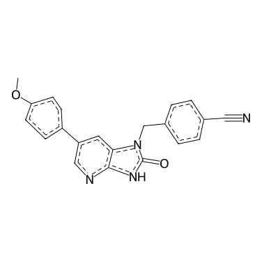 COc1ccc(-c2cnc3[nH]c(=O)n(Cc4ccc(C#N)cc4)c3c2)cc1